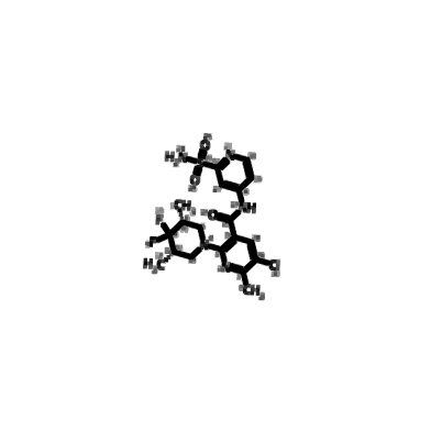 Cc1nc(N2C[C@@H](C)C(F)(F)[C@@H](C)C2)c(C(=O)Nc2ccnc(S(N)(=O)=O)c2)cc1Cl